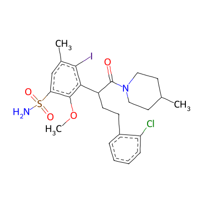 COc1c(S(N)(=O)=O)cc(C)c(I)c1C(CCc1ccccc1Cl)C(=O)N1CCC(C)CC1